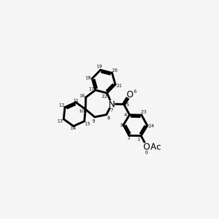 CC(=O)Oc1ccc(C(=O)N2CCC3(C=CCCC3)Cc3ccccc32)cc1